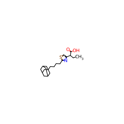 CCC(C(=O)O)c1csc(CCCCC23CC4CC(CC(C4)C2)C3)n1